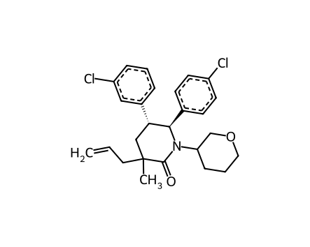 C=CCC1(C)C[C@H](c2cccc(Cl)c2)[C@@H](c2ccc(Cl)cc2)N(C2CCCOC2)C1=O